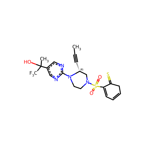 CC#C[C@@H]1CN(S(=O)(=O)C2=CC=CCC2=S)CCN1c1ncc(C(C)(O)C(F)(F)F)cn1